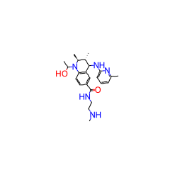 CNCCNC(=O)c1ccc2c(c1)C(Nc1cccc(C)n1)[C@@H](C)[C@H](C)N2C(C)O